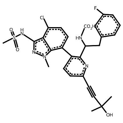 Cn1nc(NS(C)(=O)=O)c2c(Cl)ccc(-c3ccc(C#CC(C)(C)O)nc3C(Cc3cccc(F)c3)NC(=O)O)c21